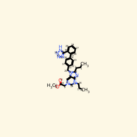 CCCC1N=C2C(=CN(CC(=O)OC)CN2CCC)N1Cc1ccc(-c2ccccc2-c2nnn[nH]2)cc1